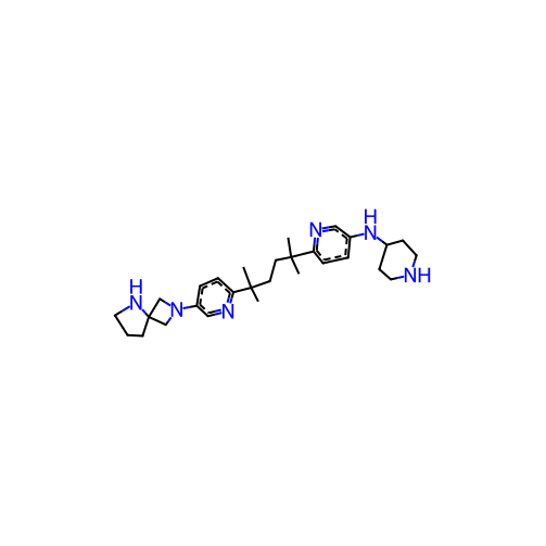 CC(C)(CCC(C)(C)c1ccc(N2CC3(CCCN3)C2)cn1)c1ccc(NC2CCNCC2)cn1